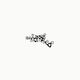 C#C[C@@]12OC(=O)O[C@@H]1[C@@](F)(COC(=O)Cc1cccc(Cl)c1)O[C@H]2n1cnc2c(NC(=O)OC(C)(C)C)ncnc21